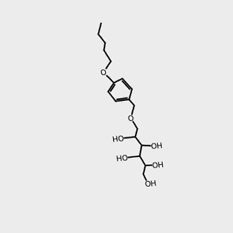 CCCCCOc1ccc(COCC(O)C(O)C(O)C(O)CO)cc1